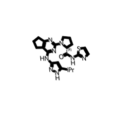 CC(C)c1cc(Nc2nc(N3CCC[C@@H]3C(=O)Nc3nccs3)nc3c2CCC3)n[nH]1